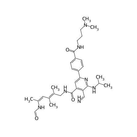 C/C(=C/C(C)=C(\C)CNC(=O)c1cc(-c2ccc(C(=O)NCCCN(C)C)cc2)nc(NC(C)C)c1C=N)NC=O